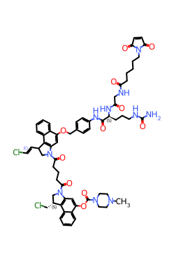 CN1CCN(C(=O)Oc2cc3c(c4ccccc24)[C@H](CCl)CN3C(=O)CCCC(=O)N2CC(/C=C/Cl)c3c2cc(OCc2ccc(NC(=O)[C@H](CCCNC(N)=O)NC(=O)CNC(=O)CCCCCN4C(=O)C=CC4=O)cc2)c2ccccc32)CC1